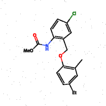 CCc1ccc(OCc2cc(Cl)ccc2NC(=O)OC)c(C)c1